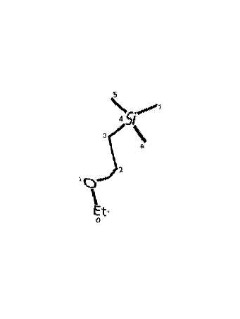 C[CH]OCC[Si](C)(C)C